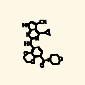 N#Cc1c[nH]c2nc(Nc3ccc(C(=O)N4CCOCC4)c4c3OCCO4)nc(C3CC3)c12